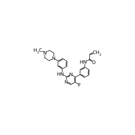 C=CC(=O)Nc1cccc(-c2nc(Nc3cccc(N4CCN(C)CC4)c3)ncc2F)c1